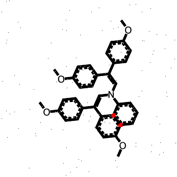 COc1ccc(C(=CN(C=C(c2ccc(OC)cc2)c2ccc(OC)cc2)c2ccccc2)c2ccc(OC)cc2)cc1